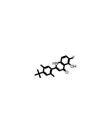 Cc1cc(C(C)(C)C)c(C)cc1-c1cc(=O)c2c(O)c(F)ccc2[nH]1